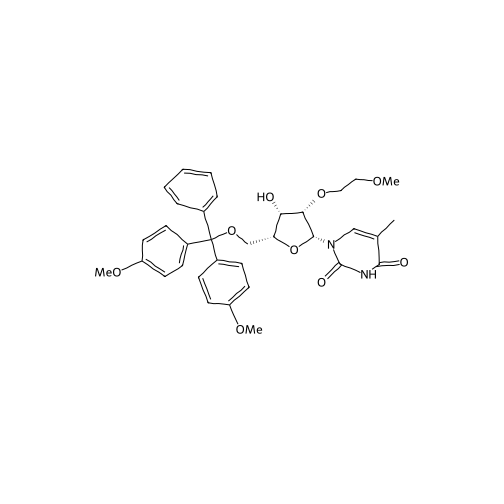 COCCO[C@H]1[C@@H](O)[C@@H](COC(c2ccccc2)(c2ccc(OC)cc2)c2ccc(OC)cc2)O[C@H]1n1cc(C)c(=O)[nH]c1=O